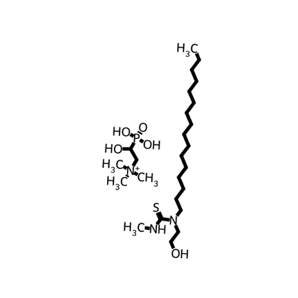 CCCCCCCCCCCCCCCCN(CCO)C(=S)NC.C[N+](C)(C)CC(O)P(=O)(O)O